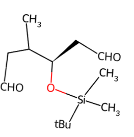 CC(CC=O)[C@@H](CC=O)O[Si](C)(C)C(C)(C)C